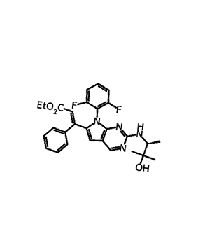 CCOC(=O)/C=C(\c1ccccc1)c1cc2cnc(N[C@@H](C)C(C)(C)O)nc2n1-c1c(F)cccc1F